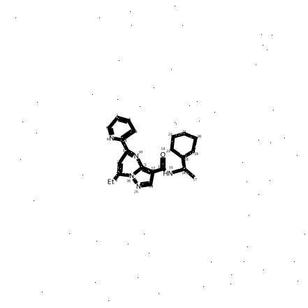 CCc1cc(-c2ccccn2)nc2c(C(=O)NC(C)C3CCCCC3)cnn12